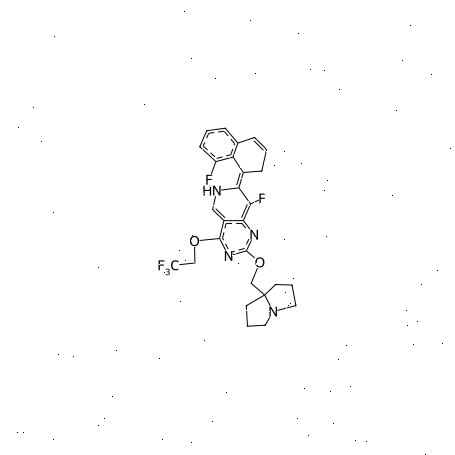 FC1=c2nc(OCC34CCCN3CCC4)nc(OCC(F)(F)F)c2=CNC1=C1CC=Cc2cccc(F)c21